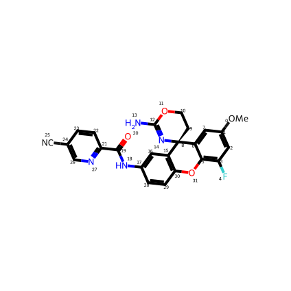 COc1cc(F)c2c(c1)[C@]1(CCOC(N)=N1)c1cc(NC(=O)c3ccc(C#N)cn3)ccc1O2